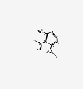 C=C(C)c1c(Br)cccc1OC